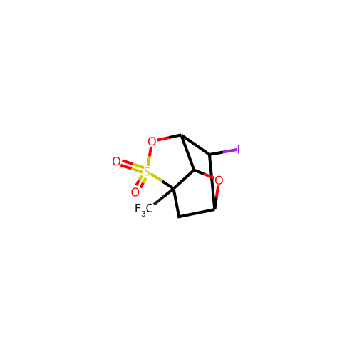 O=S1(=O)OC2C(I)C3CC1(C(F)(F)F)C2O3